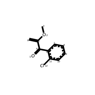 C=C(OC)C(=O)c1ccccc1Cl